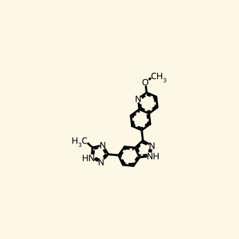 COc1ccc2cc(-c3n[nH]c4ccc(-c5n[nH]c(C)n5)cc34)ccc2n1